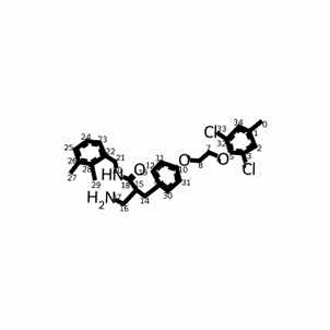 Cc1cc(Cl)c(OCCOc2ccc(CC(CN)C(=O)NCc3cccc(C)c3C)cc2)c(Cl)c1